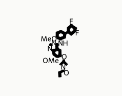 C=CC(=O)N1CC(Oc2cc3c(Nc4cc(-c5cc(F)cc(F)c5)ccc4OC)ncnc3cc2OC)C1